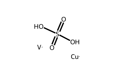 O=S(=O)(O)O.[Cu].[V]